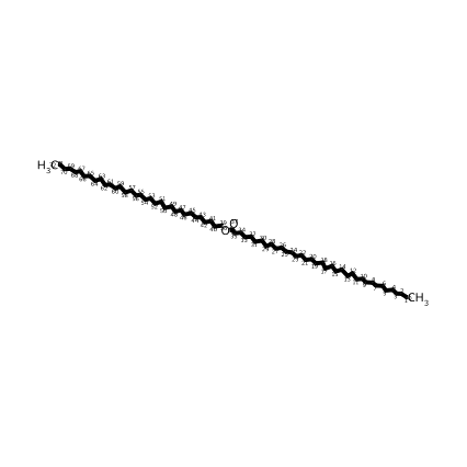 CCCCCCCCCCCCCCCCCCCCCCCCCCCCCCCCCCCCC(=O)OCCCCCCCCCCCCCCCCCCCCCCCCCCCCCCCCCC